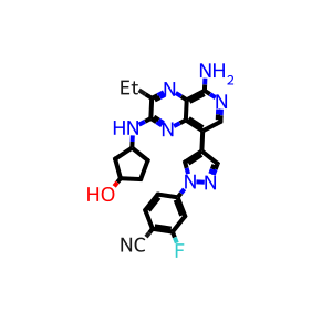 CCc1nc2c(N)ncc(-c3cnn(-c4ccc(C#N)c(F)c4)c3)c2nc1NC1CCC(O)C1